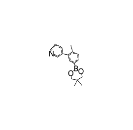 Cc1ccc(B2OCC(C)(C)CO2)cc1-c1cccnc1